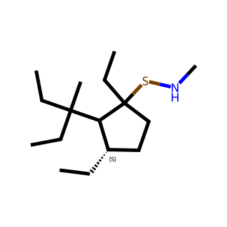 CC[C@H]1CCC(CC)(SNC)C1C(C)(CC)CC